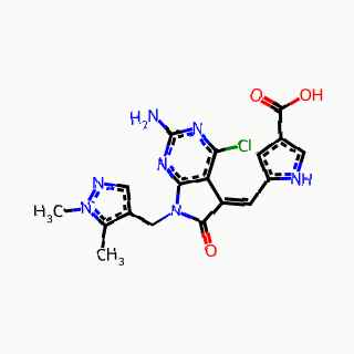 Cc1c(CN2C(=O)/C(=C/c3cc(C(=O)O)c[nH]3)c3c(Cl)nc(N)nc32)cnn1C